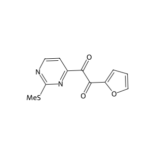 CSc1nccc(C(=O)C(=O)c2ccco2)n1